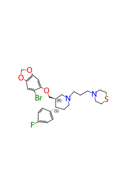 Fc1ccc([C@H]2CCN(CCCN3CCSCC3)C[C@@H]2COc2cc3c(cc2Br)OCO3)cc1